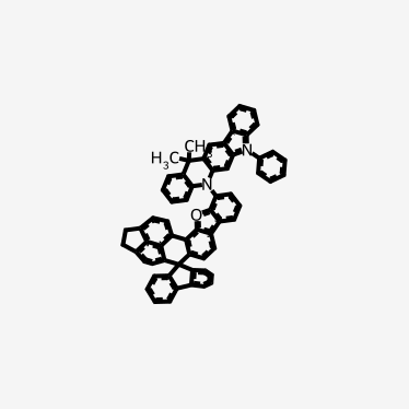 CC1(C)c2ccccc2N(c2cccc3c2oc2c4c(ccc23)C2(c3ccccc3-c3ccccc32)c2ccc3c5c(ccc-4c25)CC3)c2cc3c(cc21)c1ccccc1n3-c1ccccc1